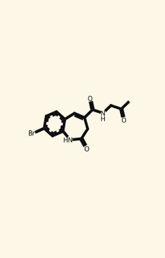 CC(=O)CNC(=O)C1=Cc2ccc(Br)cc2NC(=O)C1